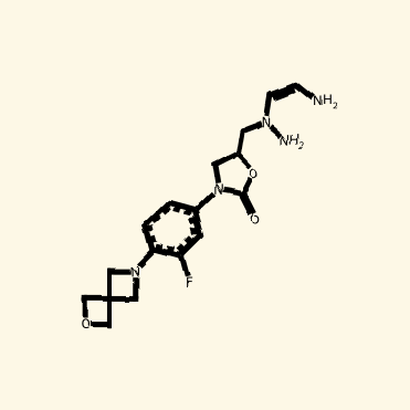 N/C=C\N(N)CC1CN(c2ccc(N3CC4(COC4)C3)c(F)c2)C(=O)O1